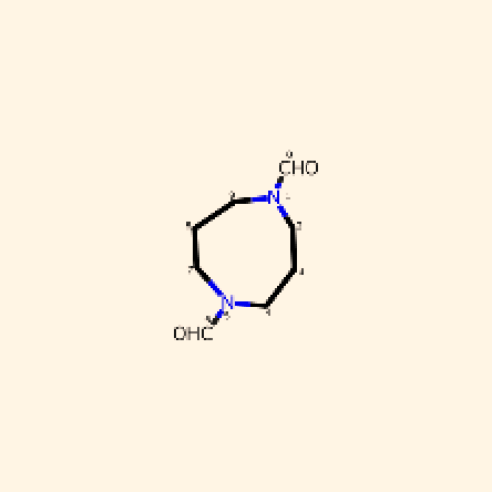 O=CN1CCCN(C=O)CCC1